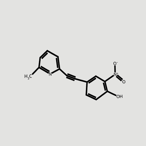 Cc1cccc(C#Cc2ccc(O)c([N+](=O)[O-])c2)n1